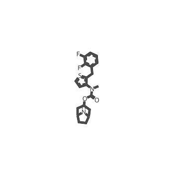 CN(C(=O)OC1CC2CCC(C1)N2)c1ccsc1Cc1cccc(F)c1F